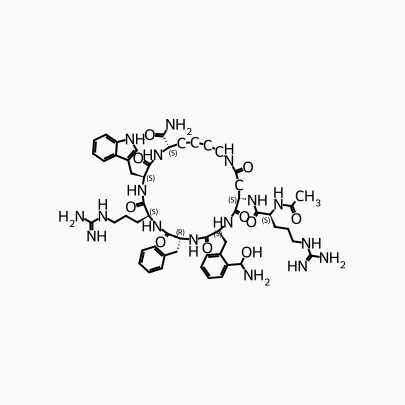 CC(=O)N[C@@H](CCCNC(=N)N)C(=O)N[C@H]1CC(=O)NCCCC[C@@H](C(N)=O)NC(=O)[C@H](Cc2c[nH]c3ccccc23)NC(=O)[C@H](CCCNC(=N)N)NC(=O)[C@@H](Cc2ccccc2)NC(=O)[C@H](Cc2ccccc2C(N)O)NC1=O